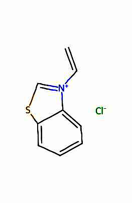 C=C[n+]1csc2ccccc21.[Cl-]